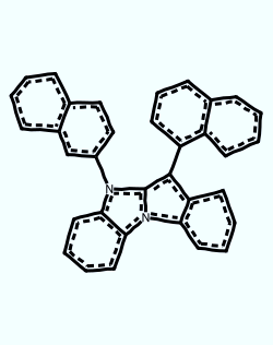 c1ccc2cc(-n3c4ccccc4n4c5ccccc5c(-c5cccc6ccccc56)c34)ccc2c1